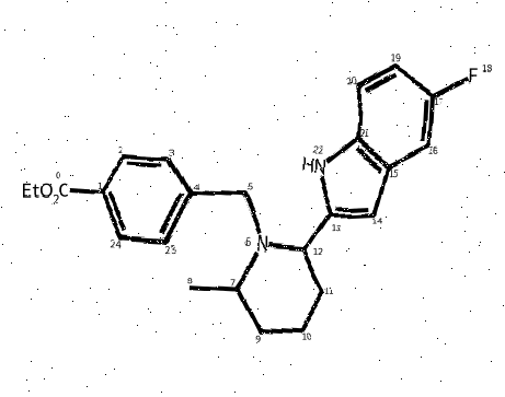 CCOC(=O)c1ccc(CN2C(C)CCCC2c2cc3cc(F)ccc3[nH]2)cc1